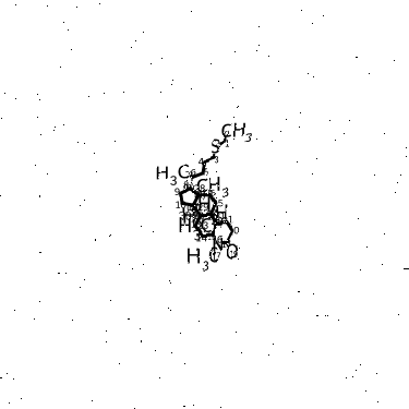 CCSCCCC(C)[C@H]1CC[C@H]2[C@@H]3CCC4N(C)C(=O)CC[C@]4(C)[C@H]3CC[C@]12C